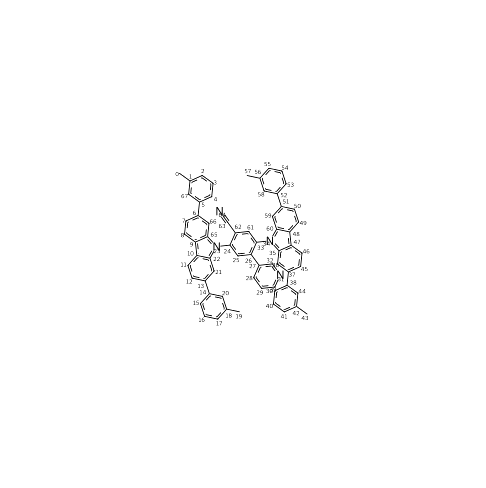 Cc1cccc(-c2ccc3c4ccc(-c5cccc(C)c5)cc4n(-c4cc(-c5cccnc5)c(-n5c6cc(-c7cccc(C)c7)ccc6c6ccc(-c7cccc(C)c7)cc65)cc4C#N)c3c2)c1